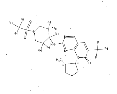 [2H]C(F)(F)c1cc2cnc(NC3([2H])C([2H])([2H])CN(S(=O)(=O)C([2H])([2H])[2H])CC3([2H])[2H])nc2n([C@@H]2CCC[C@@H]2C)c1=O